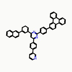 C1=C(c2ccc3ccccc3c2)CCC=C1c1cc(-c2ccc(-c3cccnc3)cc2)nc(-c2ccc(-c3ccc4c5ccccc5c5ccccc5c4c3)cc2)n1